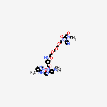 CC(C)N(C)[C@@H]1CC[C@H](N2CC[C@H](Nc3ncnc4ccc(C(F)(F)F)cc34)C2=O)[C@H](NC(=O)C[C@H]2CC[C@H](NC(=O)CCOCCOCCOCCNC(=O)[C@H]3CC(=O)N(C)[C@@H]3c3cccnc3)CC2)C1